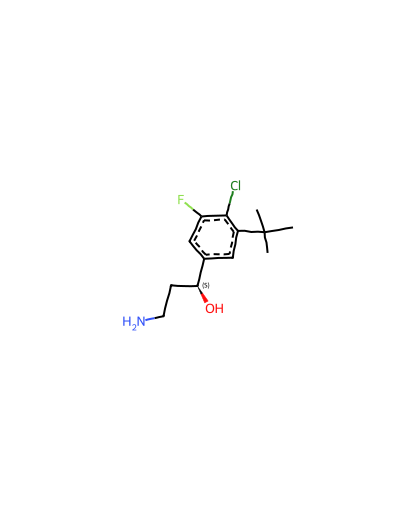 CC(C)(C)c1cc([C@@H](O)CCN)cc(F)c1Cl